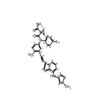 Cc1ccc(N(C(=O)C2(C(N)=O)CC2)c2ccc(F)cc2)cc1C#Cc1cnc2c(Nc3cnn(C)c3)cccn12